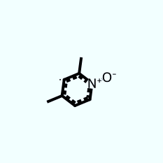 Cc1[c]c(C)[n+]([O-])cc1